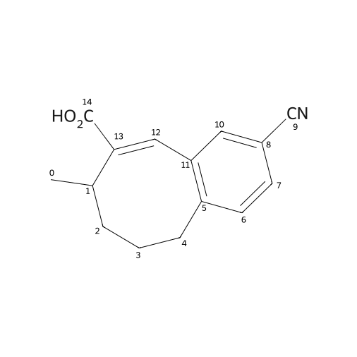 CC1CCCc2ccc(C#N)cc2/C=C\1C(=O)O